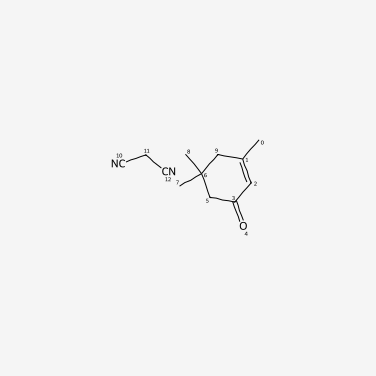 CC1=CC(=O)CC(C)(C)C1.N#CCC#N